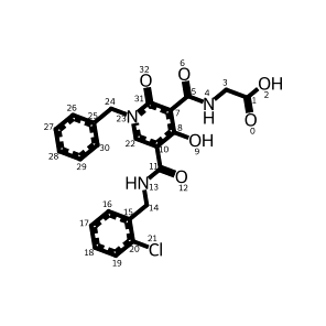 O=C(O)CNC(=O)c1c(O)c(C(=O)NCc2ccccc2Cl)cn(Cc2ccccc2)c1=O